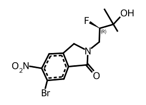 CC(C)(O)[C@H](F)CN1Cc2cc([N+](=O)[O-])c(Br)cc2C1=O